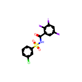 O=C(NS(=O)(=O)c1cccc(Cl)c1)c1cc(I)cc(I)c1I